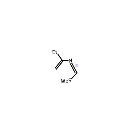 C=C(CC)/N=C\SC